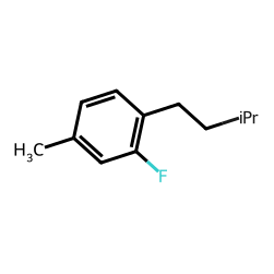 Cc1ccc(CCC(C)C)c(F)c1